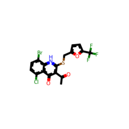 CC(=O)c1c(SCc2ccc(C(F)(F)F)o2)[nH]c2c(Br)ccc(Cl)c2c1=O